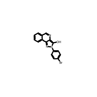 Oc1c2ncc3ccccc3c2nn1-c1ccc(Br)cc1